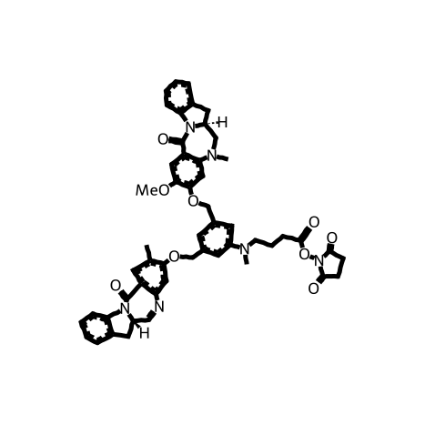 COc1cc2c(cc1OCc1cc(COc3cc4c(cc3C)C(=O)N3c5ccccc5C[C@H]3C=N4)cc(N(C)CCCC(=O)ON3C(=O)CCC3=O)c1)N(C)C[C@@H]1Cc3ccccc3N1C2=O